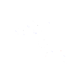 Cn1cnc(-n2ccc3c(CN4CCCC4)cc(-c4ccc5c(c4)CN(C4CCC(=O)NC4=O)C5=O)nc32)c1